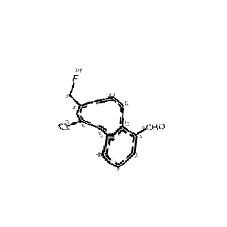 O=Cc1cccc2c(Cl)c(CF)ccc12